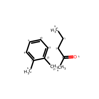 CCCC(C)=O.Cc1ccccc1C